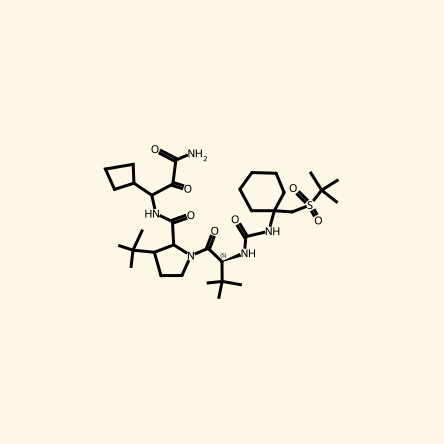 CC(C)(C)C1CCN(C(=O)[C@@H](NC(=O)NC2(CS(=O)(=O)C(C)(C)C)CCCCC2)C(C)(C)C)C1C(=O)NC(C(=O)C(N)=O)C1CCC1